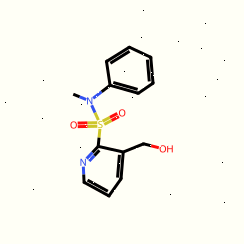 CN(c1ccccc1)S(=O)(=O)c1ncccc1CO